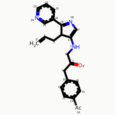 C=CCC1C(NCC(=O)Cc2ccc(C(C)=O)cc2)=CN=C1c1cccnc1